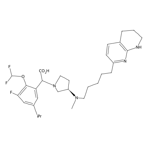 CC(C)c1cc(F)c(OC(F)F)c(C(C(=O)O)N2CC[C@@H](N(C)CCCCCc3ccc4c(n3)NCCC4)C2)c1